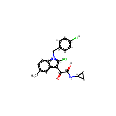 Cc1ccc2c(c1)c(C(=O)C(=O)NC1CC1)c(Cl)n2Cc1ccc(Cl)cc1